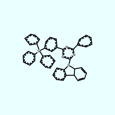 C1=CC2c3ccccc3N(c3nc(-c4ccccc4)nc(-c4cccc([Si](c5ccccc5)(c5ccccc5)c5ccccc5)c4)n3)C2C=C1